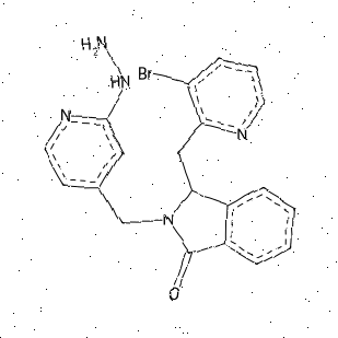 NNc1cc(CN2C(=O)c3ccccc3C2Cc2ncccc2Br)ccn1